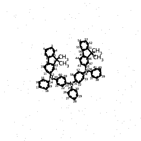 CC1(C)c2ccccc2-c2ccc(N(c3ccccc3)c3ccc(N(c4ccccc4)c4ccc(N(c5ccccc5)c5ccc6c(c5)C(C)(C)c5ccccc5-6)cc4)cc3)cc21